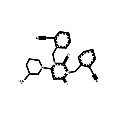 N#Cc1ccccc1Cn1c(N2CCCC(N)C2)cc(=O)n(Cc2ccccc2C#N)c1=O